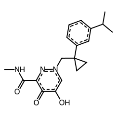 CNC(=O)c1nn(CC2(c3cccc(C(C)C)c3)CC2)cc(O)c1=O